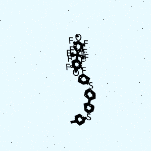 COc1c(F)c(F)c(C(c2c(F)c(F)c(Oc3ccc(Sc4ccc(-c5ccc(Sc6ccc(C)cc6)cc5)cc4)cc3)c(F)c2F)(C(F)(F)F)C(F)(F)F)c(F)c1F